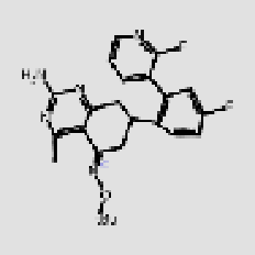 Cc1nc(N)nc2c1/C(=N/OC(C)(C)C)CC(c1ccc(F)cc1-c1cccnc1F)C2